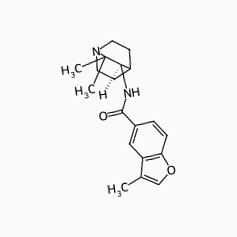 Cc1coc2ccc(C(=O)N[C@@H]3C4CCN(CC4)C3(C)C)cc12